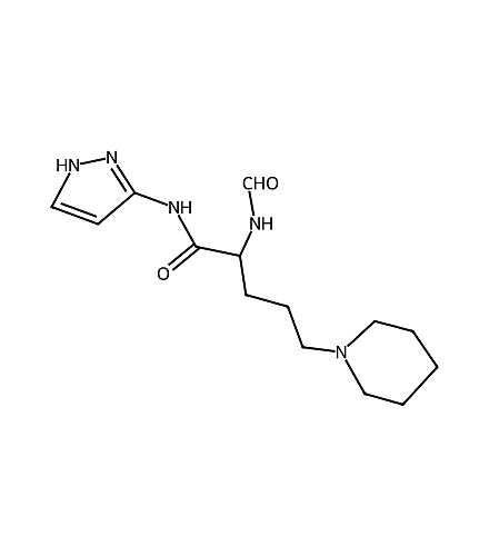 O=CNC(CCCN1CCCCC1)C(=O)Nc1cc[nH]n1